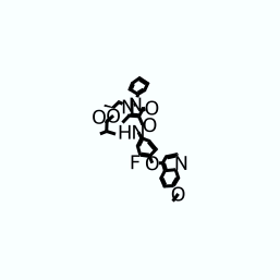 COc1ccc2c(Oc3ccc(NC(=O)c4c(C)n(C[C@H](C)OC(=O)C(C)C)n(-c5ccccc5)c4=O)cc3F)ccnc2c1